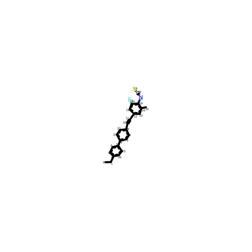 CCc1ccc(-c2ccc(C#Cc3cc(C)c(N=C=S)c(F)c3)cc2)cc1